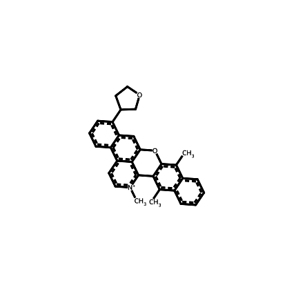 Cc1c2c(c(C)c3ccccc13)-c1c3c(cc4c(C5CCOC5)cccc4c3cc[n+]1C)O2